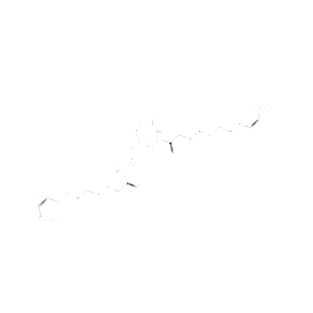 CCCCCCCC/C=C\CCCCCCCC(=O)POCC(CO)OPC(=O)CCCCCCC/C=C\CCCCCCCC